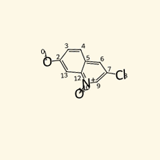 COc1ccc2cc(Cl)c[n+]([O-])c2c1